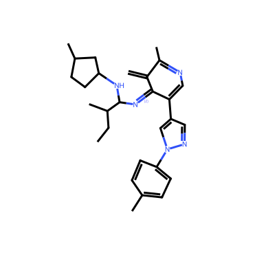 C=C1C(C)=NC=C(c2cnn(-c3ccc(C)cc3)c2)/C1=N/C(NC1CCC(C)C1)C(C)CC